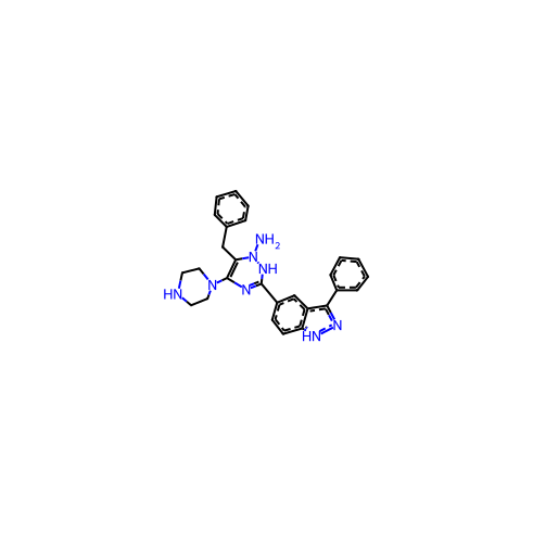 NN1NC(c2ccc3[nH]nc(-c4ccccc4)c3c2)=NC(N2CCNCC2)=C1Cc1ccccc1